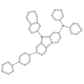 c1ccc(-c2ccc(-c3ccc4c5ccc(N(c6ccccc6)c6ccccc6)cc5n(-c5ccc6ccccc6c5)c4c3)cc2)cc1